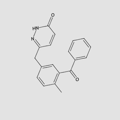 Cc1ccc(Cc2ccc(=O)[nH]n2)cc1C(=O)c1ccccc1